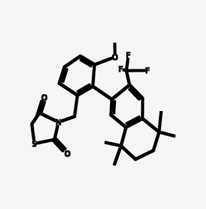 COc1cccc(CN2C(=O)CSC2=O)c1-c1cc2c(cc1C(F)(F)F)C(C)(C)CCC2(C)C